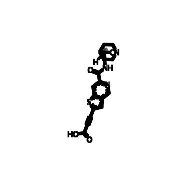 O=C(O)C#Cc1cc2cnc(C(=O)N[C@H]3CN4CCC3CC4)cc2s1